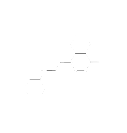 Cl.O=c1[nH]nc(CCNC2CCCCC2)c2c1CCCC2